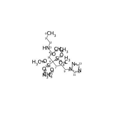 CCCNCCC(CCCn1cncn1)([Si](OC)(OC)OC)[Si](OC)(OC)OC